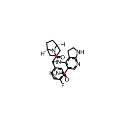 NC(=O)c1cnc2c(c1N[C@@H]1C[C@H]3CC[C@@H](C1)N3C(=O)Cc1ccc(F)cc1)CCN2